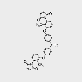 CCC(c1ccc(Oc2cccc(N3C(=O)C=CC3=O)c2C(F)(F)F)cc1)c1ccc(Oc2cccc(N3C(=O)C=CC3=O)c2C(F)(F)F)cc1